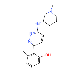 Cc1cc(C)c(-c2ccc(NC3CCCN(C)C3)nn2)c(O)c1